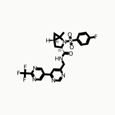 CC12C[C@H]1C[C@@H](C(=O)NCc1cc(-c3cnc(C(F)(F)F)nc3)ncn1)N2S(=O)(=O)c1ccc(F)cc1